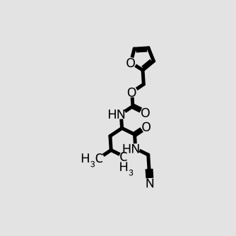 CC(C)CC(NC(=O)OCc1ccco1)C(=O)NCC#N